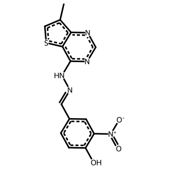 Cc1csc2c(NN=Cc3ccc(O)c([N+](=O)[O-])c3)ncnc12